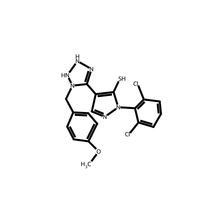 COc1ccc(CN2NNN=C2c2cnn(-c3c(Cl)cccc3Cl)c2S)cc1